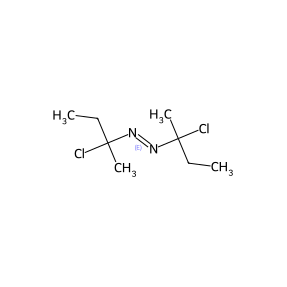 CCC(C)(Cl)/N=N/C(C)(Cl)CC